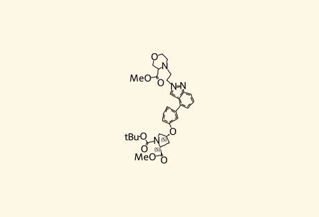 COC(=O)C1COCCN1CCn1cc2c(-c3cccc(O[C@H]4C[C@@H](C(=O)OC)N(C(=O)OC(C)(C)C)C4)c3)cccc2n1